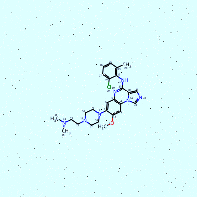 COc1cc2c(cc1N1CCN(CCN(C)C)CC1)nc(Nc1c(C)cccc1Cl)c1cncn12